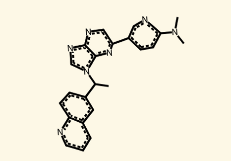 CC(c1ccc2ncccc2c1)n1cnc2ncc(-c3ccc(N(C)C)nc3)nc21